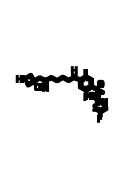 Cc1cc([SH](C)(=O)Nc2ncc(F)s2)c(F)cc1NCCCCNCC1(O)CNC1